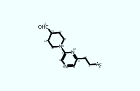 CC(=O)CCc1cncc(N2CCC(C=O)CC2)n1